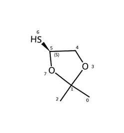 CC1(C)OC[C@H](S)O1